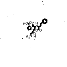 NCC(O)CCC(NC(CCc1ccccc1)C(=O)O)C(=O)N1CCC[C@H]1C(=O)O